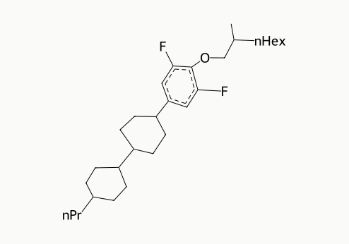 CCCCCCC(C)COc1c(F)cc(C2CCC(C3CCC(CCC)CC3)CC2)cc1F